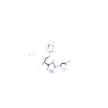 COc1c(-c2ncn(C)n2)nn2c(-c3cc(C)on3)nnc2c1C(C)(C)C